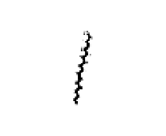 CCCCCCC=CCCCCCCCCCC